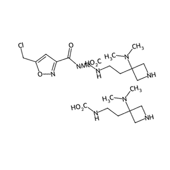 CN(C)C1(CCNC(=O)O)CNC1.CN(C)C1(CCNC(=O)O)CNC1.CNC(=O)c1cc(CCl)on1